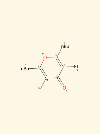 CCCCc1oc(CCCC)c(CC)c(=O)c1C